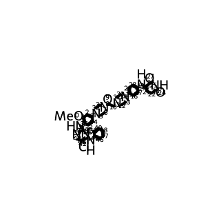 COc1cc(N2CCN(C(=O)CN3CCN(c4ccc(NC5CCC(=O)NC5=O)cc4)CC3)CC2)ccc1Nc1ncc(Cl)c(Nc2ccccc2C(C)=O)n1